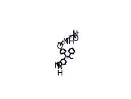 CC/C(=C(/c1ccc(OC(C)(C)CNC/C=C/C(=O)N(C)C)cc1)c1ccc2[nH]ncc2c1)c1ccccc1